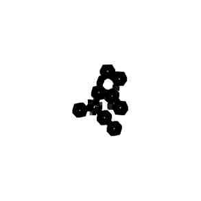 C1=C\c2ccc(-c3nc(-c4ccccc4)nc(-c4ccc(-c5ccccc5)cc4)n3)cc2-c2cc3oc4ccccc4c3cc2Oc2ccccc2-c2ccccc2/1